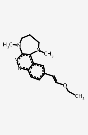 CCO/C=C/c1ccc2nnc3c(c2c1)N(C)CCCN3C